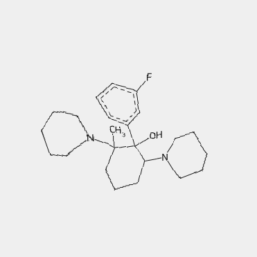 CC1(N2CCCCC2)CCCC(N2CCCCC2)C1(O)c1cccc(F)c1